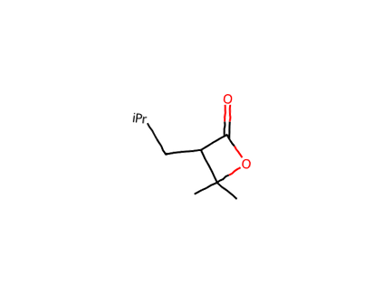 CC(C)CC1C(=O)OC1(C)C